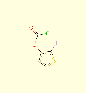 O=C(Cl)Oc1ccsc1I